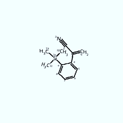 C=C(C#N)c1ccccc1[Si](C)(C)C